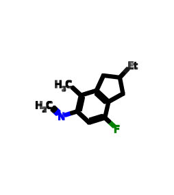 C=Nc1cc(F)c2c(c1C)CC(CC)C2